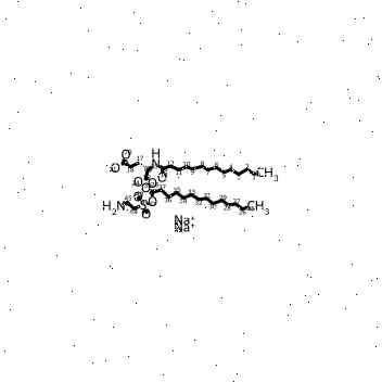 CCCCCCCCCCCCCC(=O)N[C@@H](CCC(=O)[O-])C(=O)[O-].CCCCCCCCCCCCCC(=O)OS(=O)(=O)CCN.[Na+].[Na+]